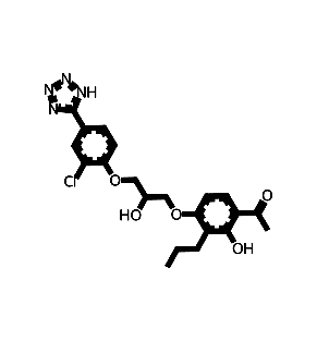 CCCc1c(OCC(O)COc2ccc(-c3nnn[nH]3)cc2Cl)ccc(C(C)=O)c1O